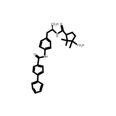 CC1(C(=O)O)CCC(C(=O)N[C@@H](Cc2ccc(NC(=O)c3ccc(-c4ccccc4)cc3)cc2)C(=O)O)C1(C)C